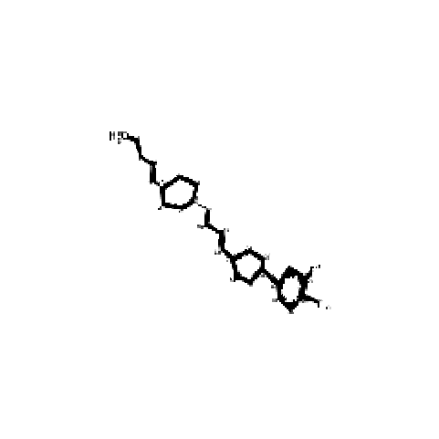 CCCCC[C@H]1CC[C@H](CCCCC2CCC(c3ccc(F)c(F)c3)CC2)CC1